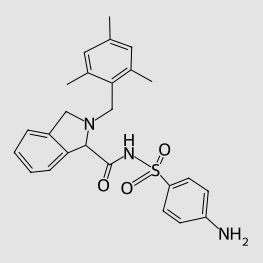 Cc1cc(C)c(CN2Cc3ccccc3C2C(=O)NS(=O)(=O)c2ccc(N)cc2)c(C)c1